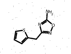 Nc1nc(Cc2cccs2)no1